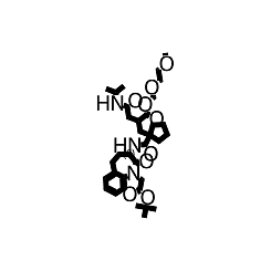 COCCOCOC(=O)C(CC(=O)NC(C)C)CC1(C(=O)N[C@H]2CCc3ccccc3N(CC(=O)OC(C)(C)C)C2=O)CCCC1